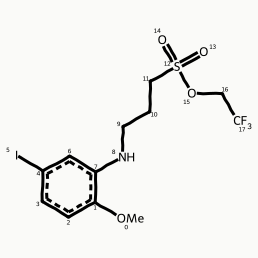 COc1ccc(I)cc1NCCCS(=O)(=O)OCC(F)(F)F